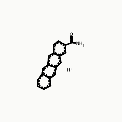 NC(=O)c1ccc2cc3cc4ccccc4cc3cc2c1.[H+]